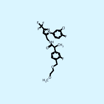 COCCOCc1ccc(C(C)C(=O)NCc2cc(C(F)(F)F)nn2-c2ccc(F)c(Cl)c2)cc1F